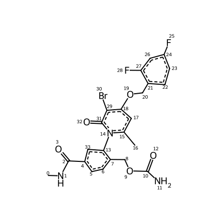 CNC(=O)c1ccc(COC(N)=O)c(-n2c(C)cc(OCc3ccc(F)cc3F)c(Br)c2=O)c1